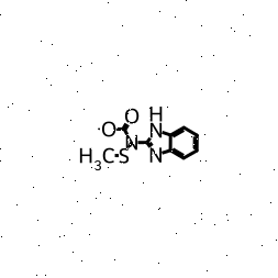 CSN(C([O])=O)c1nc2ccccc2[nH]1